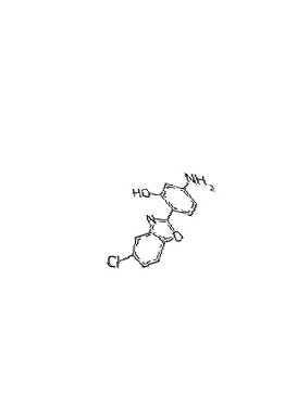 Nc1ccc(-c2nc3cc(Cl)ccc3o2)c(O)c1